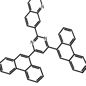 c1cnc2cc(-c3nc(-c4cc5ccccc5c5ccccc45)cc(-c4cc5ccccc5c5ccccc45)n3)ccc2c1